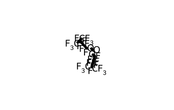 O=C(OC(F)C(F)(F)C(F)(F)C(F)(C(F)(F)F)C(F)(F)F)OC(F)C(F)(F)C(F)(F)C(F)(C(F)(F)F)C(F)(F)F